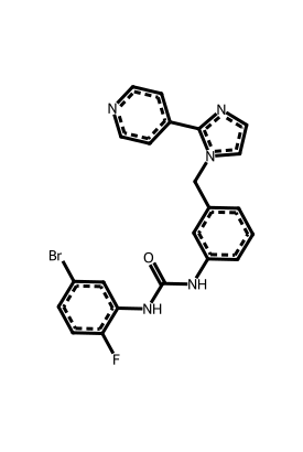 O=C(Nc1cccc(Cn2ccnc2-c2ccncc2)c1)Nc1cc(Br)ccc1F